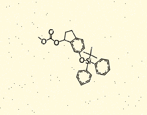 COC(=O)OC1CCc2ccc(O[Si](c3ccccc3)(c3ccccc3)C(C)(C)C)cc21